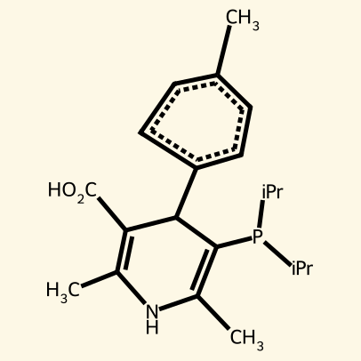 CC1=C(C(=O)O)C(c2ccc(C)cc2)C(P(C(C)C)C(C)C)=C(C)N1